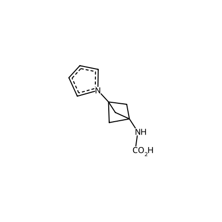 O=C(O)NC12CC(n3cccc3)(C1)C2